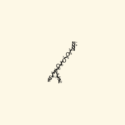 [N-]=[N+]=NCCOCCOCCOCCN(CCSF)CCSF